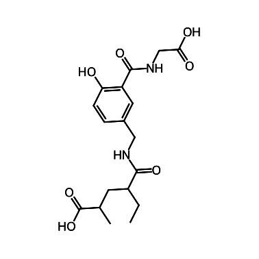 CCC(CC(C)C(=O)O)C(=O)NCc1ccc(O)c(C(=O)NCC(=O)O)c1